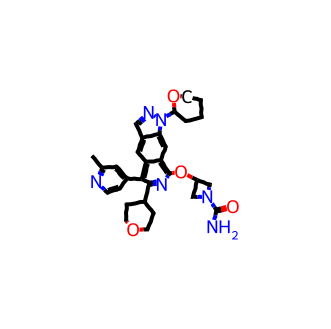 Cc1cc(-c2c(C3CCOCC3)nc(OC3CN(C(N)=O)C3)c3cc4c(cnn4C4CCCCO4)cc23)ccn1